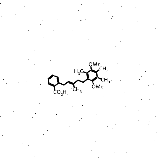 COc1c(C)c(C)c(OC)c(CC/C(C)=C/Cc2ccccc2C(=O)O)c1C